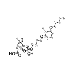 CCCCCOc1cccc(OCCCCOP(=O)(O)O[C@H](CC(=O)O)C[N+](C)(C)C)c1C